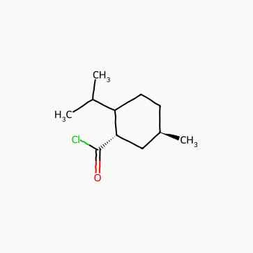 CC(C)C1CC[C@@H](C)C[C@@H]1C(=O)Cl